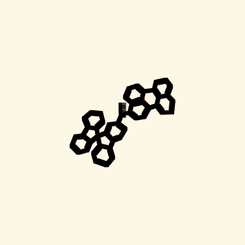 c1ccc(-c2cccc3cccc(-c4ccc(Nc5ccc6c(c5)C5(c7ccccc7-c7ccccc75)c5ccccc5-6)cc4)c23)cc1